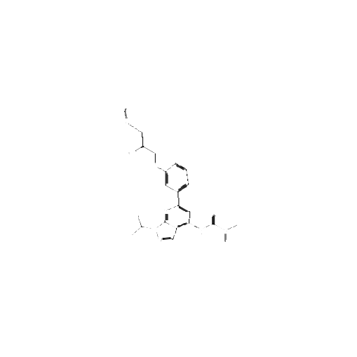 CNCC(O)COc1cccc(-c2cc(NC(=O)N(C)C)c3cnn(C(C)C)c3n2)c1